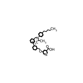 CCCCCc1ccc(N(Cc2cccc(-c3cccc(COc4cncc(C(=O)O)c4)c3)c2)C(C)C)cc1